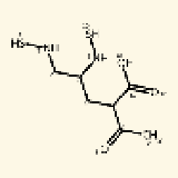 CC(=O)C(CC(CNS)NS)C(=O)O